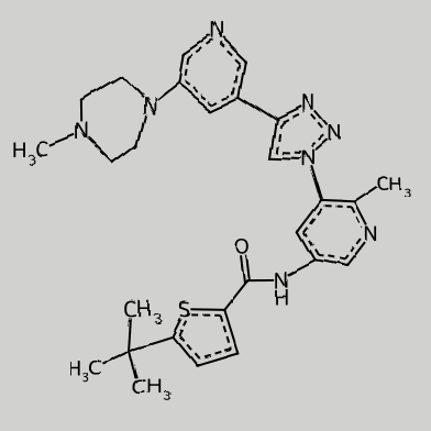 Cc1ncc(NC(=O)c2ccc(C(C)(C)C)s2)cc1-n1cc(-c2cncc(N3CCN(C)CC3)c2)nn1